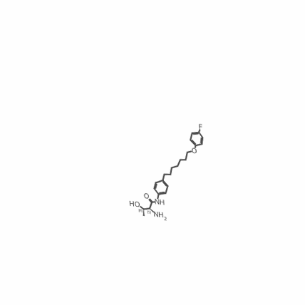 C[C@@H](O)[C@H](N)C(=O)Nc1ccc(CCCCCCCOc2ccc(F)cc2)cc1